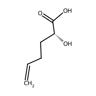 C=CCC[C@@H](O)C(=O)O